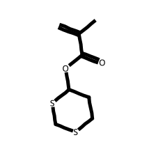 C=C(C)C(=O)OC1CCSCS1